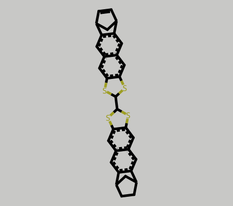 C1=CC2CC1c1cc3cc4c(cc3cc12)SC(C1Sc2cc3cc5c(cc3cc2S1)C1CCC5C1)S4